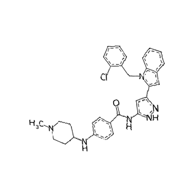 CN1CCC(Nc2ccc(C(=O)Nc3cc(-c4cc5ccccc5n4Cc4ccccc4Cl)n[nH]3)cc2)CC1